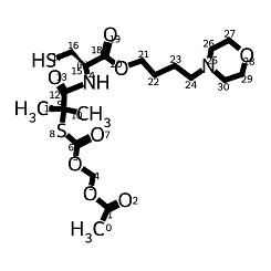 CC(=O)OCOC(=O)SC(C)(C)C(=O)N[C@@H](CS)C(=O)OCCCCN1CCOCC1